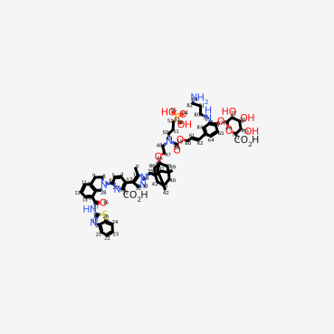 Cc1c(-c2ccc(N3CCc4cccc(C(=O)Nc5nc6ccccc6s5)c4C3)nc2C(=O)O)cnn1CC12CC3(C)CC(C)(C1)CC(OCCN(CCCP(=O)(O)O)C(=O)OC/C=C/c1ccc(O[C@@H]4O[C@H](C(=O)O)[C@@H](O)[C@H](O)[C@H]4O)c(NCCCN)c1)(C3)C2